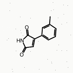 Cc1cccc(C2=CC(=O)NC2=O)c1